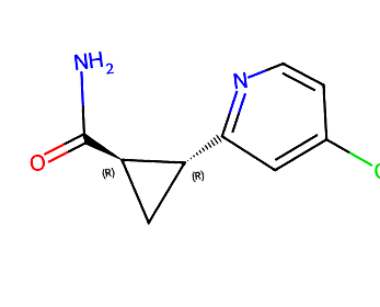 NC(=O)[C@@H]1C[C@H]1c1cc(Cl)ccn1